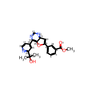 COC(=O)c1cccc(-c2cc3ncnc(-c4ccnc(C(C)(C)O)c4)c3o2)c1